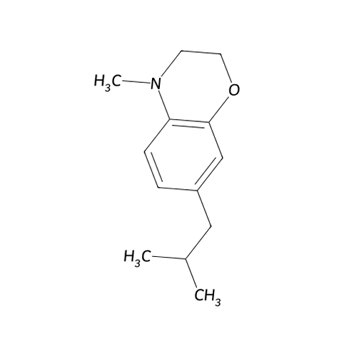 CC(C)Cc1ccc2c(c1)OCCN2C